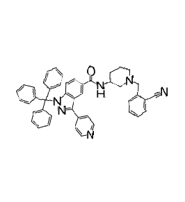 N#Cc1ccccc1CN1CCCC(NC(=O)c2ccc3c(c2)c(-c2ccncc2)nn3C(c2ccccc2)(c2ccccc2)c2ccccc2)C1